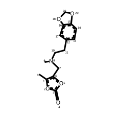 Cc1oc(=O)oc1CN(C)CCc1ccc2c(c1)OCO2